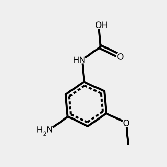 COc1cc(N)cc(NC(=O)O)c1